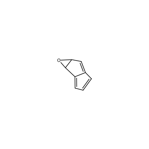 C1=CC2=CC3OC3C2=C1